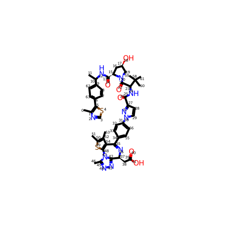 Cc1ncsc1-c1ccc(C(C)NC(=O)[C@@H]2C[C@@H](O)CN2C(=O)C(NC(=O)c2ccn(-c3ccc(C4=N[C@@H](CC(=O)O)c5nnc(C)n5-c5sc(C)c(C)c54)cc3)n2)C(C)(C)C)cc1